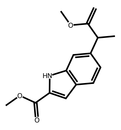 C=C(OC)C(C)c1ccc2cc(C(=O)OC)[nH]c2c1